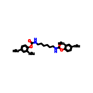 CCCCc1ccc(OC(=O)NCCCCCCNC(=O)Oc2ccc(CCCC)cc2CCCC)c(CCCC)c1